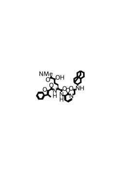 CNC(=O)C(O)CC[C@H](NC(=O)c1oc2ccccc2c1C)C(=O)Nc1cccn(CC(=O)NC2CC3CCC4CC3CC2C4)c1=O